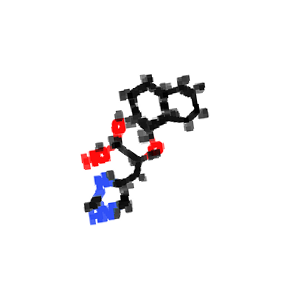 O=C(O)C(Cc1c[nH]cn1)Oc1cccc2c1CCC=C2